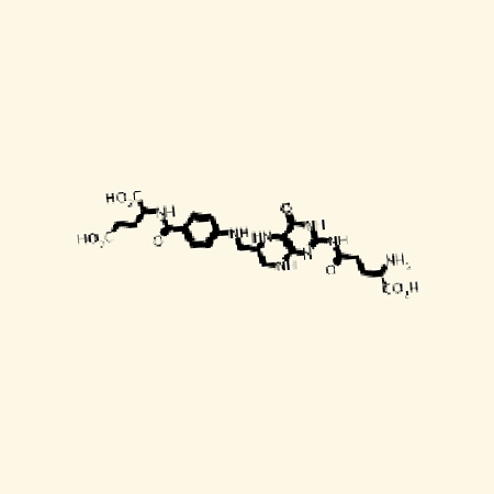 N[C@@H](CCC(=O)Nc1nc2c(c(=O)[nH]1)NC(CNc1ccc(C(=O)NC(CCC(=O)O)C(=O)O)cc1)CN2)C(=O)O